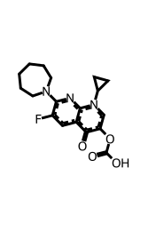 O=C(O)Oc1cn(C2CC2)c2nc(N3CCCCCC3)c(F)cc2c1=O